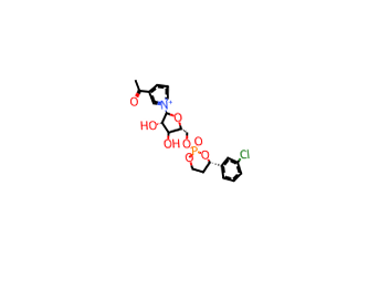 CC(=O)c1ccc[n+]([C@@H]2O[C@H](COP3(=O)OCC[C@@H](c4cccc(Cl)c4)O3)C(O)[C@@H]2O)c1